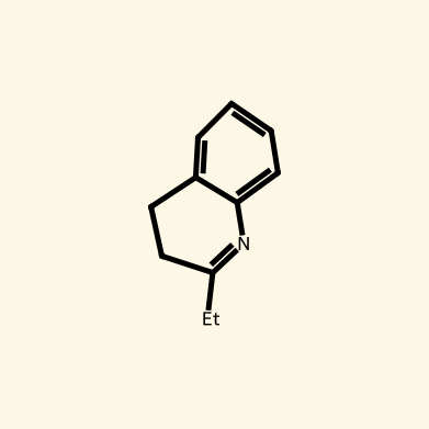 CCC1=Nc2ccccc2CC1